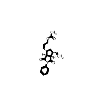 C=C[C@H]1C[C@@H](/C=C\COC(C)=O)[C@H]2C(=O)N(c3ccccc3)C(=O)[C@H]21